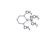 CC1CCCC(C)N1[SiH](C)C